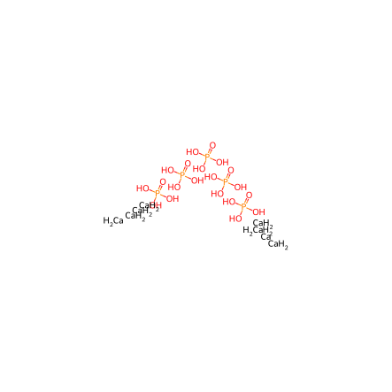 O=P(O)(O)O.O=P(O)(O)O.O=P(O)(O)O.O=P(O)(O)O.O=P(O)(O)O.[CaH2].[CaH2].[CaH2].[CaH2].[CaH2].[CaH2].[CaH2].[CaH2]